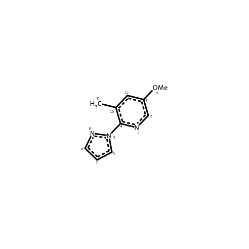 COc1cnc(-n2cccn2)c(C)c1